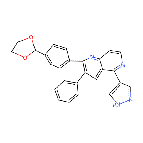 c1ccc(-c2cc3c(-c4cn[nH]c4)nccc3nc2-c2ccc(C3OCCO3)cc2)cc1